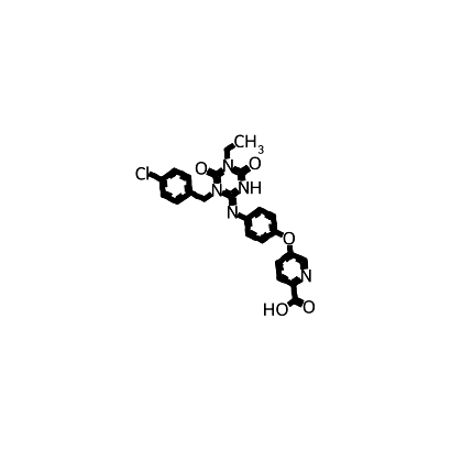 CCn1c(=O)[nH]/c(=N\c2ccc(Oc3ccc(C(=O)O)nc3)cc2)n(Cc2ccc(Cl)cc2)c1=O